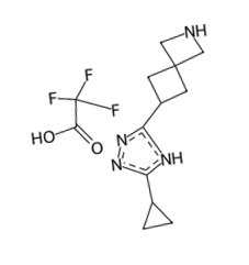 C1CC1c1nnc(C2CC3(CNC3)C2)[nH]1.O=C(O)C(F)(F)F